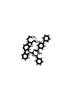 C=Cc1oc2c(ccc3c4ccccc4n(C4=NC(c5ccccc5)NC(c5ccc(-c6ccccc6)cc5)=N4)c32)c1/C=C\C